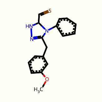 COc1cccc(CC2=NNC(C=S)N2c2ccccc2)c1